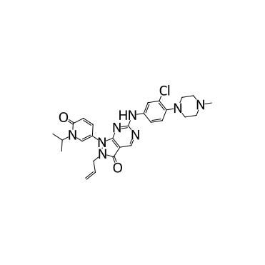 C=CCn1c(=O)c2cnc(Nc3ccc(N4CCN(C)CC4)c(Cl)c3)nc2n1-c1ccc(=O)n(C(C)C)c1